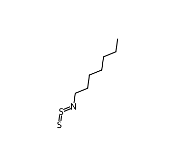 CCCCCCCN=S=S